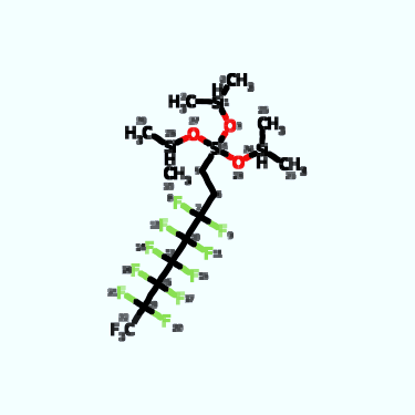 C[SiH](C)O[Si](CCC(F)(F)C(F)(F)C(F)(F)C(F)(F)C(F)(F)C(F)(F)F)(O[SiH](C)C)O[SiH](C)C